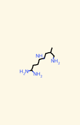 CC(CN)CCCCCC(N)N.N